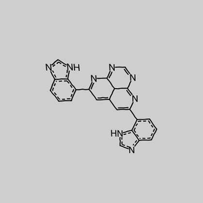 C1=NC2=NC(c3cccc4nc[nH]c34)=CC3=CC(c4cccc5nc[nH]c45)=NC(=N1)C32